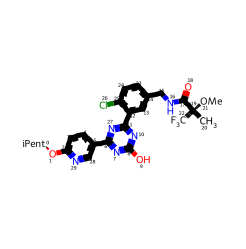 CCC[C@@H](C)Oc1ccc(-c2nc(O)nc(-c3cc(CNC(=O)[C@@](C)(OC)C(F)(F)F)ccc3Cl)n2)cn1